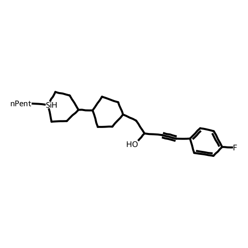 CCCCC[SiH]1CCC(C2CCC(CC(O)C#Cc3ccc(F)cc3)CC2)CC1